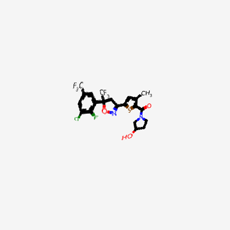 Cc1cc(C2=NOC(c3cc(C(F)(F)F)cc(Cl)c3F)(C(F)(F)F)C2)sc1C(=O)N1CCC(O)C1